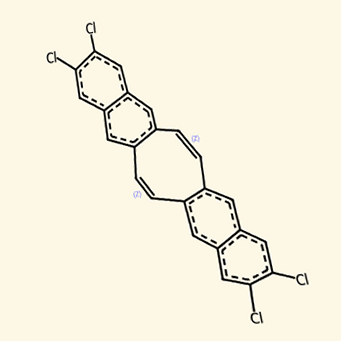 Clc1cc2cc3c(cc2cc1Cl)/C=C\c1cc2cc(Cl)c(Cl)cc2cc1/C=C\3